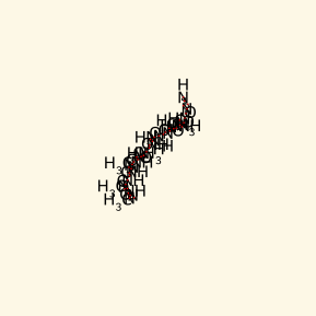 CN1C(NC(=O)c2cc(NC(=O)CCNC(=O)c3nc(NC(=O)CCCNC(=O)c4cc(NC(=O)c5nc(NC(=O)CCNC(=O)c6cc(NC(=O)c7nccn7C)cn6C)cn5C)cn4C)c[nH]3)cn2C)=CNC1C(=O)NCCC(=O)N1CCC(C2CNC2)CC1